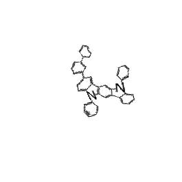 c1ccc(-c2cccc(-c3ccc4c(c3)c3cc5c(cc3n4-c3ccccc3)c3ccccc3n5-c3ccccc3)c2)cc1